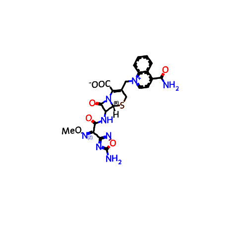 CO/N=C(\C(=O)NC1C(=O)N2C(C(=O)[O-])=C(C[n+]3ccc(C(N)=O)c4ccccc43)CS[C@H]12)c1noc(N)n1